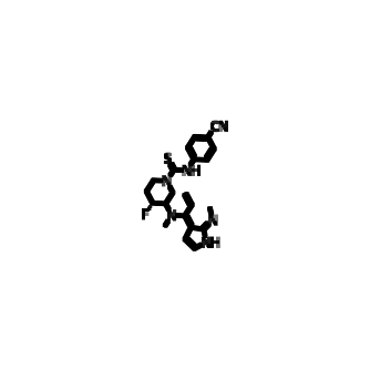 C=C/C(=C1/C=CN/C1=N/C)N(C)C1CN(C(=S)Nc2ccc(C#N)cc2)CC[C@H]1F